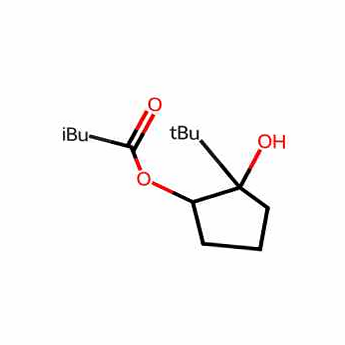 CCC(C)C(=O)OC1CCCC1(O)C(C)(C)C